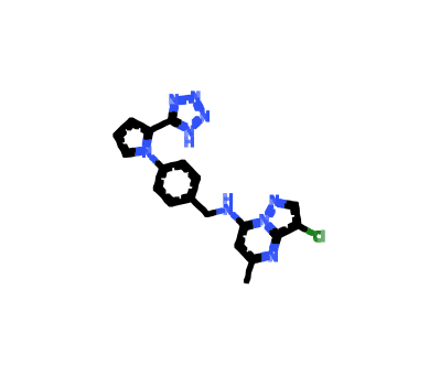 Cc1cc(NCc2ccc(-n3cccc3-c3nnn[nH]3)cc2)n2ncc(Cl)c2n1